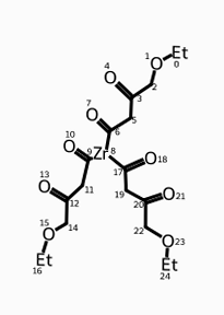 CCOCC(=O)C[C](=O)[Zr]([C](=O)CC(=O)COCC)[C](=O)CC(=O)COCC